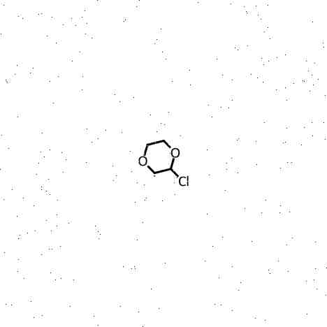 ClC1[CH]OCCO1